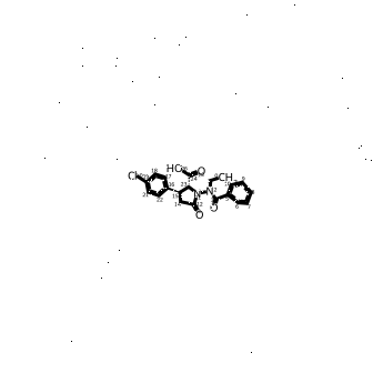 CCN(C(=O)c1ccccc1)N1C(=O)C[C@@H](c2ccc(Cl)cc2)[C@@H]1C(=O)O